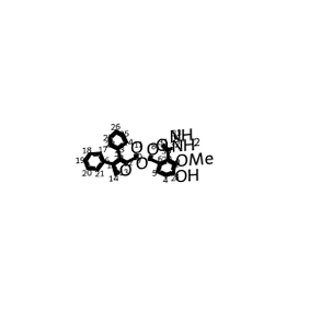 COc1c(O)ccc(C(=O)OC(=O)c2occ(-c3ccccc3)c2-c2ccccc2)c1C(=O)NN